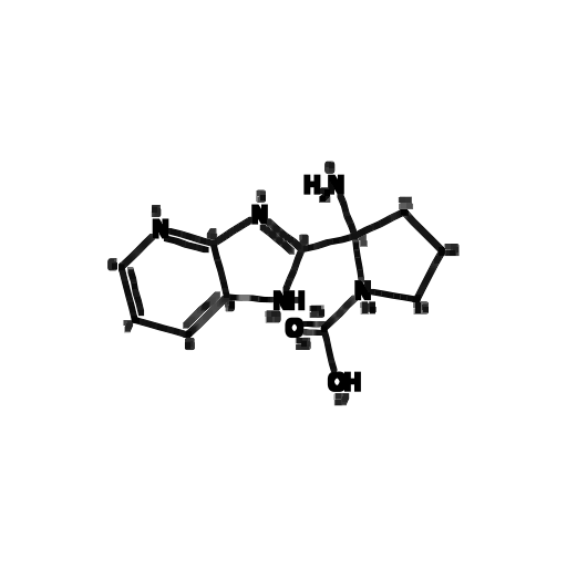 NC1(c2nc3ncccc3[nH]2)CCCN1C(=O)O